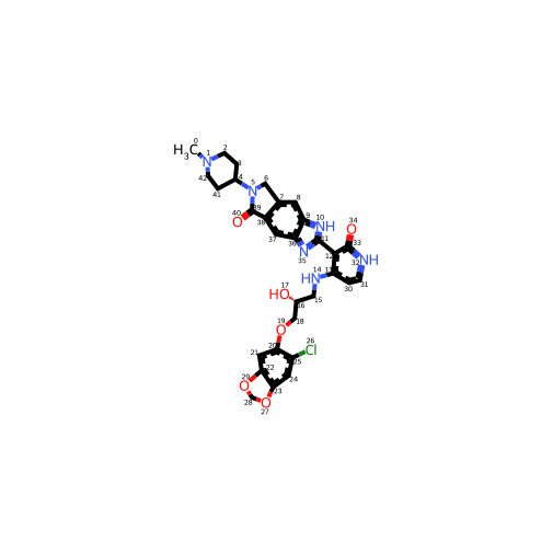 CN1CCC(N2Cc3cc4[nH]c(-c5c(NC[C@@H](O)COc6cc7c(cc6Cl)OCO7)cc[nH]c5=O)nc4cc3C2=O)CC1